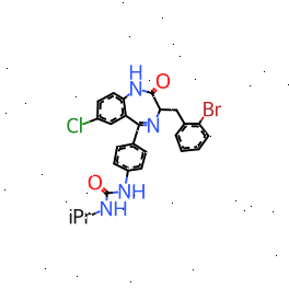 CC(C)NC(=O)Nc1ccc(C2=NC(Cc3ccccc3Br)C(=O)Nc3ccc(Cl)cc32)cc1